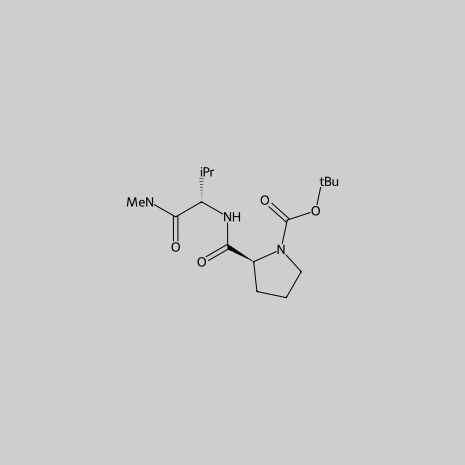 CNC(=O)[C@@H](NC(=O)[C@@H]1CCCN1C(=O)OC(C)(C)C)C(C)C